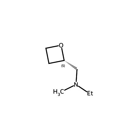 CCN(C)C[C@@H]1CCO1